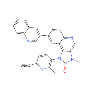 COc1ccc(-n2c(=O)n(C)c3cnc4ccc(-c5cnc6ccccc6c5)cc4c32)c(C)n1